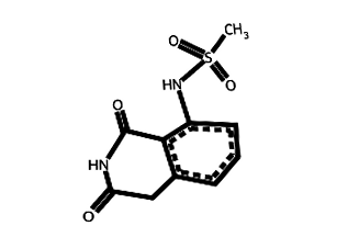 CS(=O)(=O)Nc1cccc2c1C(=O)NC(=O)C2